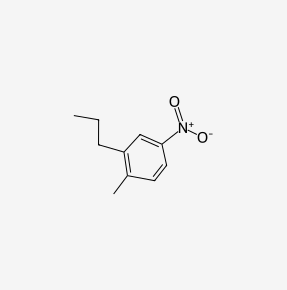 CCCc1cc([N+](=O)[O-])ccc1C